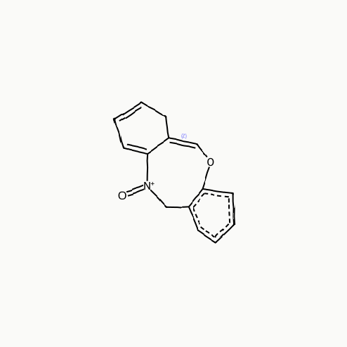 O=[N+]1Cc2ccccc2O/C=C2/CC=CC=C21